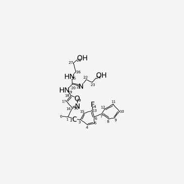 CC(Cc1ccc(-c2ccccc2)c(F)c1)c1cc(NC(=NCCO)NCCO)on1